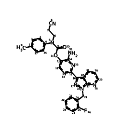 Cc1ccc(N(CCC#N)C(=O)Oc2cnc(-c3nn(Cc4ccccc4F)c4ncccc34)nc2N)cc1